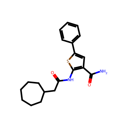 NC(=O)c1cc(-c2ccccc2)sc1NC(=O)CC1CCCCCC1